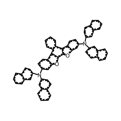 c1ccc2cc(N(c3ccc4ccccc4c3)c3ccc4c(c3)oc3c5oc6cc(N(c7ccc8ccccc8c7)c7ccc8ccccc8c7)ccc6c5c5ccccc5c43)ccc2c1